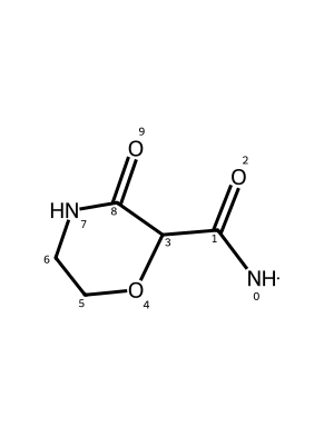 [NH]C(=O)C1OCCNC1=O